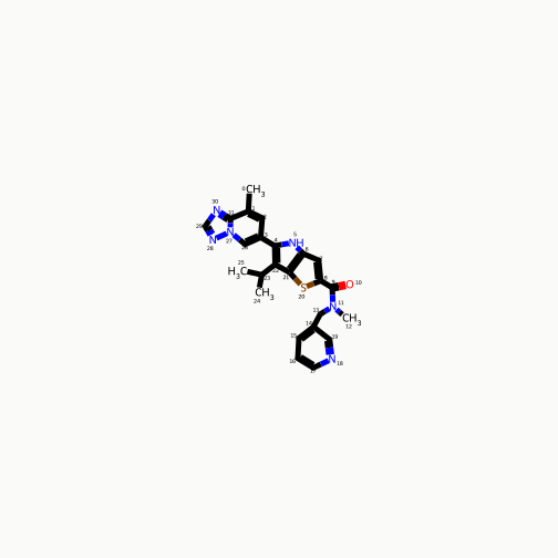 Cc1cc(-c2[nH]c3cc(C(=O)N(C)Cc4cccnc4)sc3c2C(C)C)cn2ncnc12